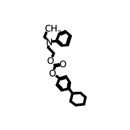 CCN(CCOC(=O)Oc1ccc(C2CCCCC2)cc1)c1ccccc1